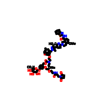 COCCN(CCOC1CC2(Cn3ncc(-c4ccc(N5CCc6c(OC)ccc(C(=O)Nc7nc8ccccc8s7)c6C5)nc4C(=O)O)c3C)CC3(C)CCC1C(C)(C3)C2)C(=O)OCc1ccc(O[C@@H]2O[C@H](C(=O)O)[C@@H](O)[C@H](O)[C@H]2O)cc1OCCOCCNC(=O)CCN1C(=O)C=CC1=O